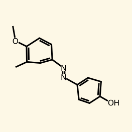 COc1ccc(N=Nc2ccc(O)cc2)cc1C